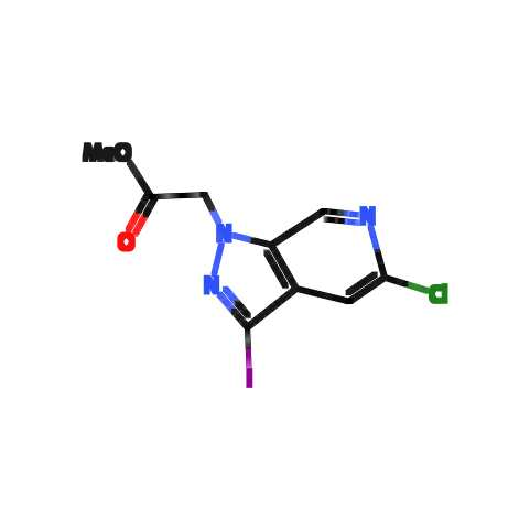 COC(=O)Cn1nc(I)c2cc(Cl)ncc21